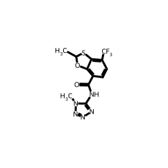 CC1Oc2c(C(=O)Nc3nnnn3C)ccc(C(F)(F)F)c2S1